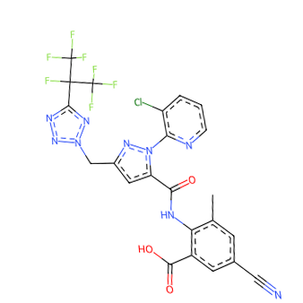 Cc1cc(C#N)cc(C(=O)O)c1NC(=O)c1cc(Cn2nnc(C(F)(C(F)(F)F)C(F)(F)F)n2)nn1-c1ncccc1Cl